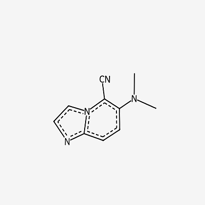 CN(C)c1ccc2nccn2c1C#N